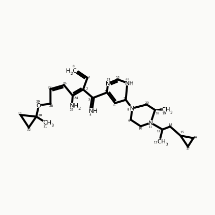 C=C/C(C(=N)C1=CC(N2CCN(C(C)CC3CC3)[C@H](C)C2)NC=N1)=C(N)\C=C/COC1(C)CC1